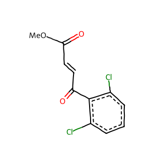 COC(=O)/C=C/C(=O)c1c(Cl)cccc1Cl